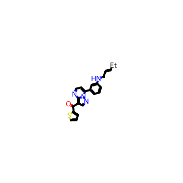 CCC=CCNc1cccc(-c2ccnc3c(C(=O)c4cccs4)cnn23)c1